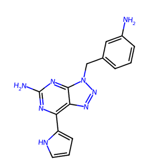 Nc1cccc(Cn2nnc3c(-c4ccc[nH]4)nc(N)nc32)c1